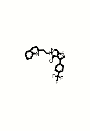 O=c1c2c(-c3ccc(C(F)(F)F)cc3)csc2cnn1CCc1ccc2ccccc2n1